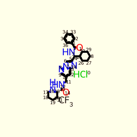 Cl.O=C(N[C@H](c1cn2ncc(CNC(=O)[C@H]3NCCC[C@@H]3C(F)(F)F)cc2n1)C1CCCCC1)c1ccccc1